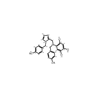 N#Cc1ccc(CN(Cc2nncn2Cc2ccc(C#N)cc2)c2cc(Cl)c(Cl)cc2Cl)cc1